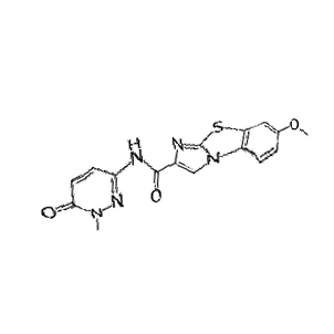 COc1ccc2c(c1)sc1nc(C(=O)Nc3ccc(=O)n(C)n3)cn12